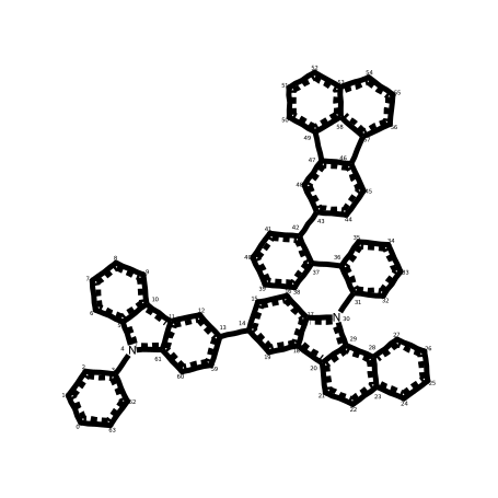 c1ccc(-n2c3ccccc3c3cc(-c4ccc5c(c4)c4ccc6ccccc6c4n5-c4ccccc4-c4ccccc4-c4ccc5c(c4)-c4cccc6cccc-5c46)ccc32)cc1